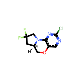 FC1(F)C[C@@H]2COc3cnc(Cl)nc3N2C1